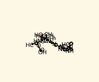 C#Cc1ccc(CNC(=O)[C@@H]2C[C@@H](O)CN2C(=O)[C@@H](NC(=O)N2CC3(CC(N4CCC(c5cnc(N6CCc7[nH]c8nnc(-c9ccccc9O)cc8c7[C@H]6C)nc5)CC4)C3)C2)C(C)(C)C)c(OCCCC(=O)O)c1